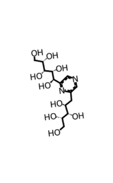 OC[C@H](O)[C@@H](O)[C@H](O)[C@H](O)c1cncc(C[C@@H](O)[C@H](O)[C@@H](O)CO)n1